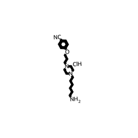 Cl.N#Cc1ccc(OCCCN2CCN(CCCCCCN)CC2)cc1